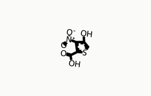 O=C(O)c1scc(O)c1[N+](=O)[O-]